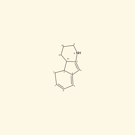 C1=CCC2C(=C1)C=C1NCCCC12